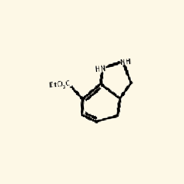 CCOC(=O)C1=C2NNCC2CC=C1